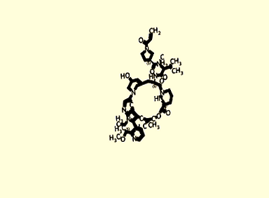 C=CC(=O)N1CC[C@H](C(=O)N(C)C(C(=O)N[C@H]2CC3=CC(O)CN(C3)c3cnc4c(c3)c(c(-c3cccnc3[C@H](C)OC)n4CC)CC(C)(C)COC(=O)[C@@H]3CCCN(N3)C2=O)C(C)C)C1